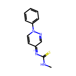 CNC(=S)/N=c1/ccn(-c2ccccc2)nc1